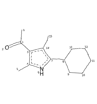 CC(=O)c1c(C)[nH]c(C2CCCCC2)c1C